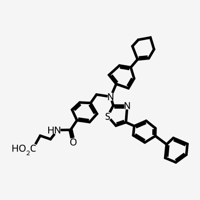 O=C(O)CCNC(=O)c1ccc(CN(c2ccc(C3=CCCCC3)cc2)c2nc(-c3ccc(-c4ccccc4)cc3)cs2)cc1